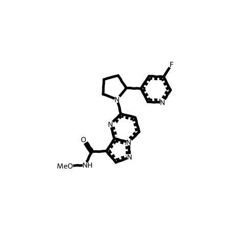 CONC(=O)c1cnn2ccc(N3CCCC3c3cncc(F)c3)nc12